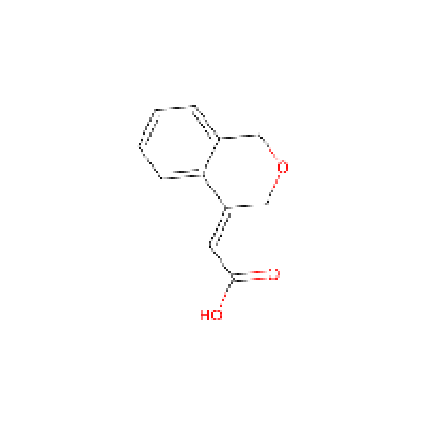 O=C(O)/C=C1\COCc2ccccc21